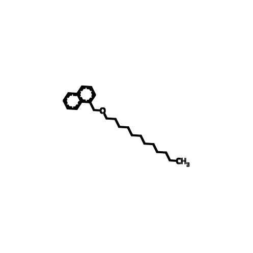 CCCCCCCCCCCCOCc1cccc2ccccc12